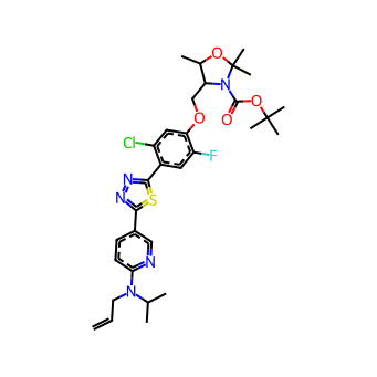 C=CCN(c1ccc(-c2nnc(-c3cc(F)c(OCC4C(C)OC(C)(C)N4C(=O)OC(C)(C)C)cc3Cl)s2)cn1)C(C)C